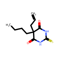 C=CCC1(CCCC)C(=O)NC(=S)NC1=O